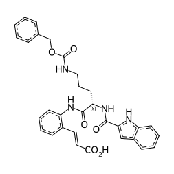 O=C(O)C=Cc1ccccc1NC(=O)[C@H](CCCNC(=O)OCc1ccccc1)NC(=O)c1cc2ccccc2[nH]1